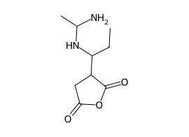 CCC(NC(C)N)C1CC(=O)OC1=O